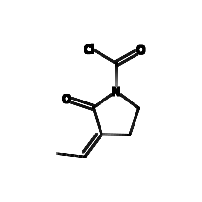 C/C=C1/CCN(C(=O)Cl)C1=O